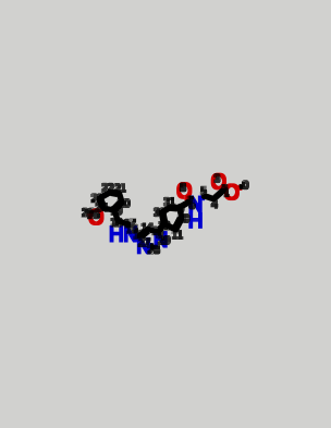 COC(=O)CCNC(=O)c1ccc(-c2cc(NCCc3ccccc3OC)ncn2)cc1